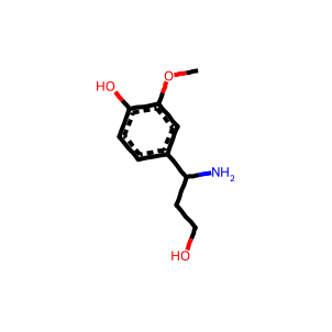 COc1cc(C(N)CCO)ccc1O